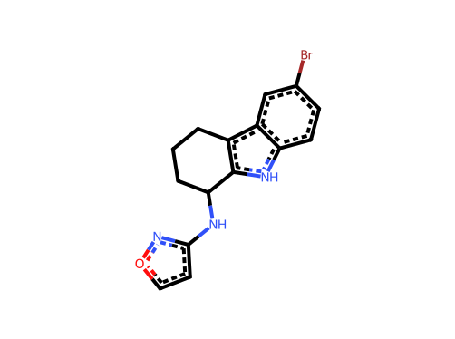 Brc1ccc2[nH]c3c(c2c1)CCCC3Nc1ccon1